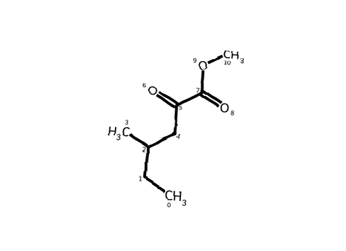 CCC(C)CC(=O)C(=O)OC